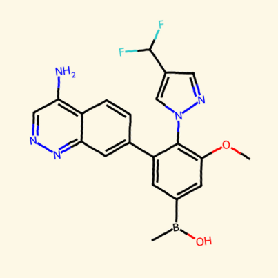 COc1cc(B(C)O)cc(-c2ccc3c(N)cnnc3c2)c1-n1cc(C(F)F)cn1